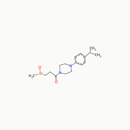 CC(C)c1ccc(N2CCN(C(=O)CC[S+](C)[O-])CC2)cc1